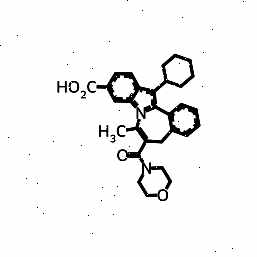 CC1=C(C(=O)N2CCOCC2)Cc2ccccc2-c2c(C3CCCCC3)c3ccc(C(=O)O)cc3n21